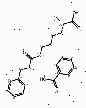 N[C@@H](CCCCNC(=O)CCc1ccccn1)C(=O)O.O=C(O)c1cccnc1